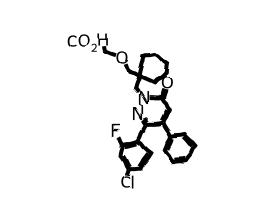 O=C(O)COCC1(Cn2nc(-c3ccc(Cl)cc3F)c(-c3ccccc3)cc2=O)CCCCC1